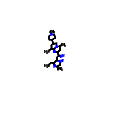 C=C1C=C(C(=N)/C=C2\NC=C(C)N=C2CC)N=C2C(C)=CC(C3CCN(C)CC3)=CN12